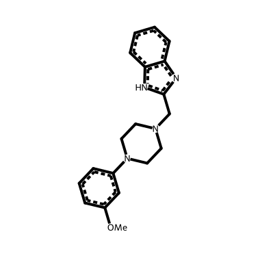 COc1cccc(N2CCN(Cc3nc4ccccc4[nH]3)CC2)c1